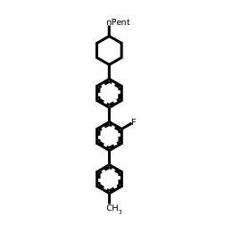 CCCCCC1CCC(c2ccc(-c3ccc(-c4ccc(C)cc4)cc3F)cc2)CC1